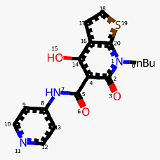 CCCCn1c(=O)c(C(=O)Nc2ccncc2)c(O)c2ccsc21